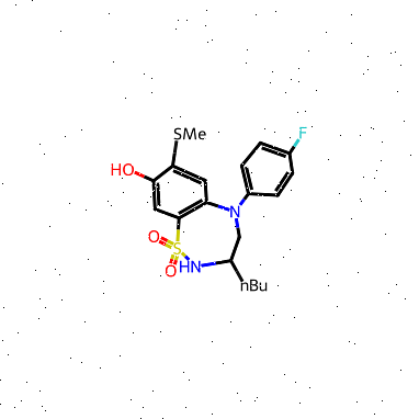 CCCCC1CN(c2ccc(F)cc2)c2cc(SC)c(O)cc2S(=O)(=O)N1